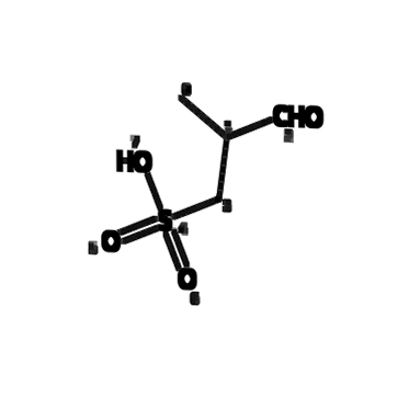 CC(C=O)CS(=O)(=O)O